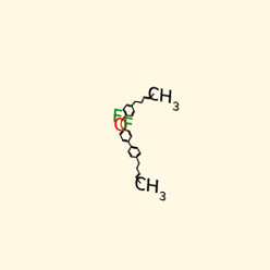 C/C=C/CCc1ccc(-c2ccc(OC(F)(F)c3ccc(CC/C=C/C)cc3)cc2)cc1